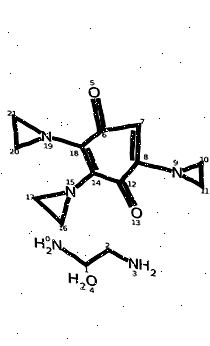 NCCN.O.O=C1C=C(N2CC2)C(=O)C(N2CC2)=C1N1CC1